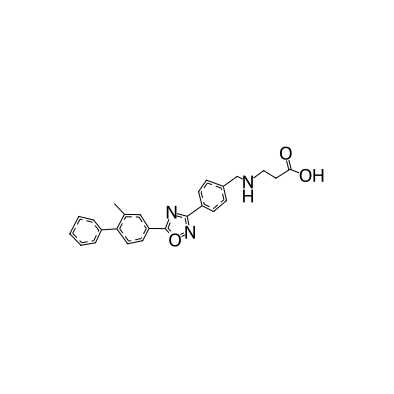 Cc1cc(-c2nc(-c3ccc(CNCCC(=O)O)cc3)no2)ccc1-c1ccccc1